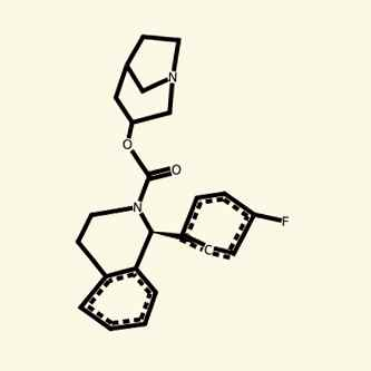 O=C(OC1CC2CCN(C2)C1)N1CCc2ccccc2[C@@H]1c1ccc(F)cc1